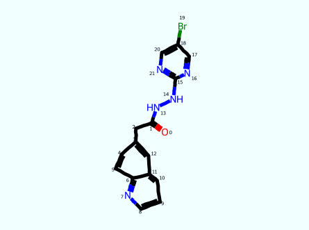 O=C(Cc1ccc2ncccc2c1)NNc1ncc(Br)cn1